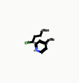 CCCCCCCCCCCCCl.CCCCc1ccncc1